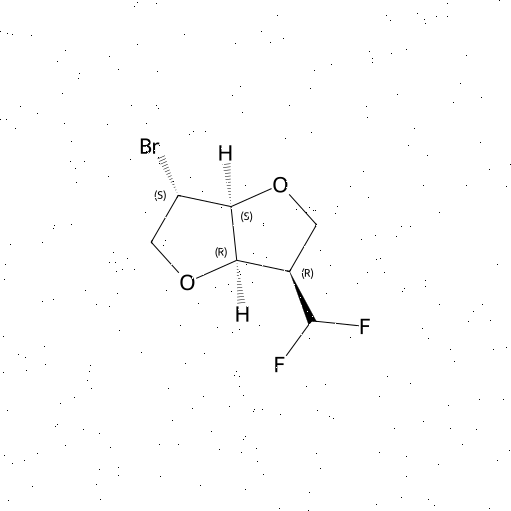 FC(F)[C@@H]1CO[C@H]2[C@@H]1OC[C@@H]2Br